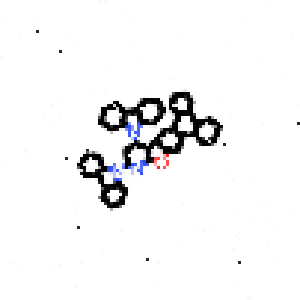 c1ccc2c(c1)c1ccccc1c1cc3c(cc21)oc1nc(-n2c4ccccc4c4ccccc42)cc(-n2c4ccccc4c4ccccc42)c13